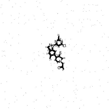 CC(=O)CN1CCC(c2cc3c(cnn3-c3cc(Cl)nc(C)n3)cc2C)C(F)C1